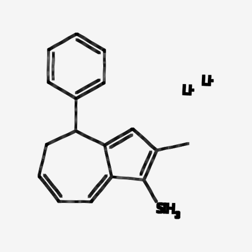 CC1=C([SiH3])C2=CC=CCC(c3ccccc3)C2=C1.[Li].[Li]